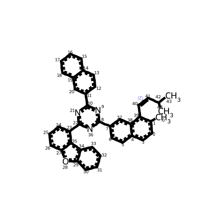 Cc1ccc2ccc(-c3nc(-c4ccc5ccccc5c4)nc(-c4cccc5oc6ccccc6c45)n3)cc2c1/C=C\C(C)C